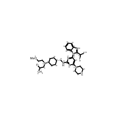 COCCN(CC(C)F)[C@H]1CC[C@H](CNc2nc(N3CCOCC3)cc(-n3c(C(F)F)nc4ccccc43)n2)CC1